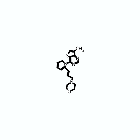 Cc1csc2c(N3C[C]=CC=C3C=CCN3CCOCC3)ncnc12